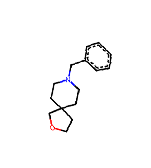 c1ccc(CN2CCC3(CCOC3)CC2)cc1